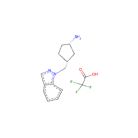 N[C@H]1CC[C@@H](Cn2ncc3ccccc32)C1.O=C(O)C(F)(F)F